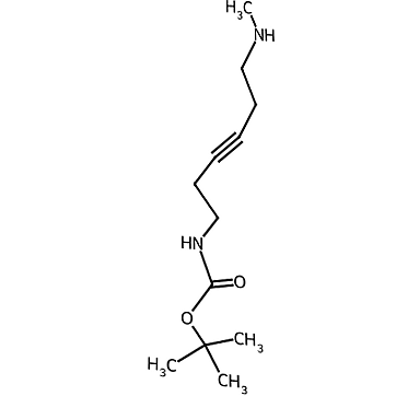 CNCCC#CCCNC(=O)OC(C)(C)C